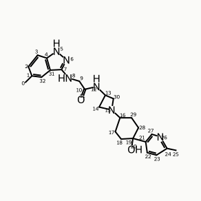 Cc1ccc2[nH]nc(NCC(=O)NC3CN(C4CCC(O)(c5ccc(C)nc5)CC4)C3)c2c1